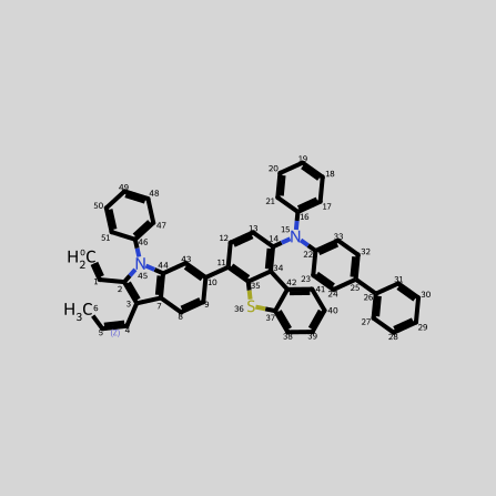 C=Cc1c(/C=C\C)c2ccc(-c3ccc(N(c4ccccc4)c4ccc(-c5ccccc5)cc4)c4c3sc3ccccc34)cc2n1-c1ccccc1